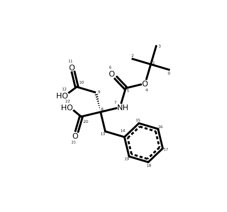 CC(C)(C)OC(=O)N[C@@](CC(=O)O)(Cc1ccccc1)C(=O)O